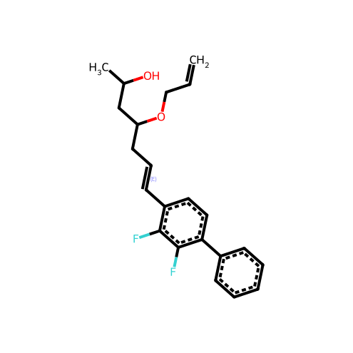 C=CCOC(C/C=C/c1ccc(-c2ccccc2)c(F)c1F)CC(C)O